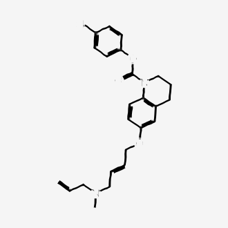 C=CCN(C)CC=CCOc1ccc2c(c1)CCCN2C(=O)Oc1ccc(Cl)cc1